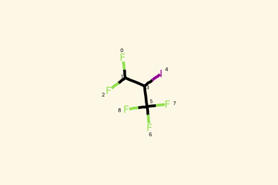 FC(F)C(I)C(F)(F)F